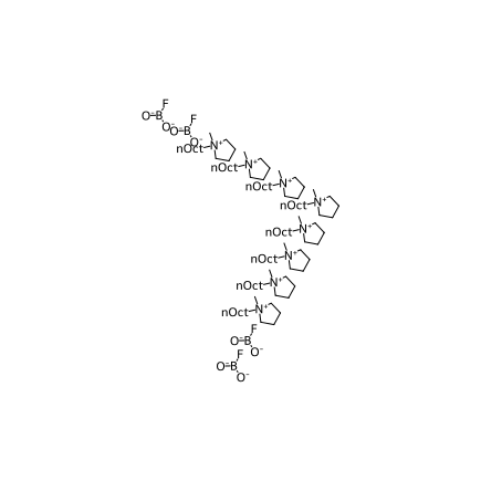 CCCCCCCC[N+]1(C)CCCC1.CCCCCCCC[N+]1(C)CCCC1.CCCCCCCC[N+]1(C)CCCC1.CCCCCCCC[N+]1(C)CCCC1.CCCCCCCC[N+]1(C)CCCC1.CCCCCCCC[N+]1(C)CCCC1.CCCCCCCC[N+]1(C)CCCC1.CCCCCCCC[N+]1(C)CCCC1.[O-]B([O-])F.[O-]B([O-])F.[O-]B([O-])F.[O-]B([O-])F